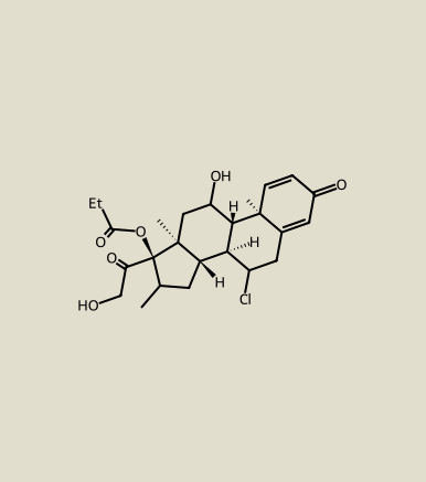 CCC(=O)O[C@]1(C(=O)CO)C(C)C[C@H]2[C@@H]3C(Cl)CC4=CC(=O)C=C[C@]4(C)[C@H]3C(O)C[C@@]21C